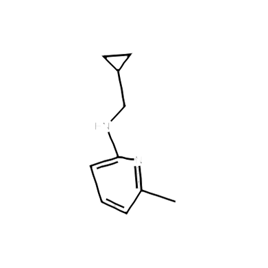 Cc1cccc(NCC2CC2)n1